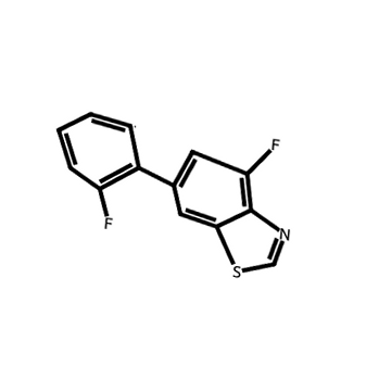 Fc1ccc[c]c1-c1cc(F)c2ncsc2c1